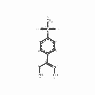 CS(=O)(=O)c1ccc(C(CN)=NO)cc1